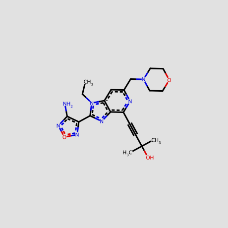 CCn1c(-c2nonc2N)nc2c(C#CC(C)(C)O)nc(CN3CCOCC3)cc21